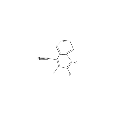 N#Cc1c(I)c(F)c(Cl)c2ccccc12